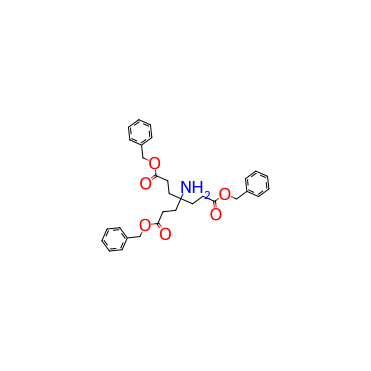 NC(CCC(=O)OCc1ccccc1)(CCC(=O)OCc1ccccc1)CCC(=O)OCc1ccccc1